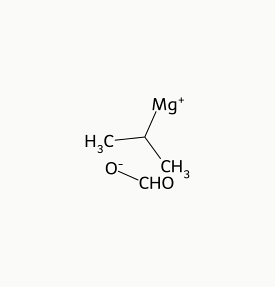 C[CH](C)[Mg+].O=C[O-]